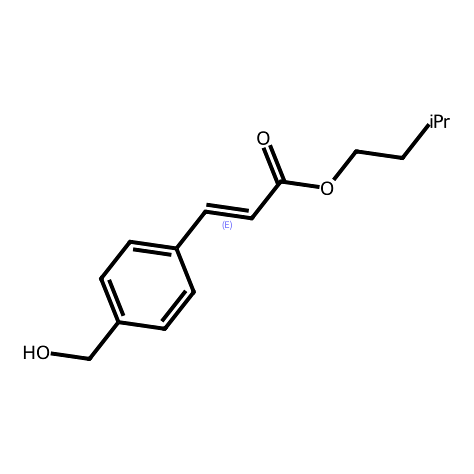 CC(C)CCOC(=O)/C=C/c1ccc(CO)cc1